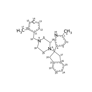 Cc1ccc(C2(N3CCN(Cc4ccccc4C)CC3)Cc3ccccc3C2)cn1